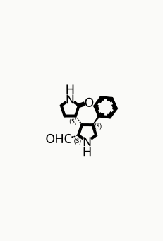 O=C[C@H]1NC[C@H](c2ccccc2)C1[C@@H]1CCNC1=O